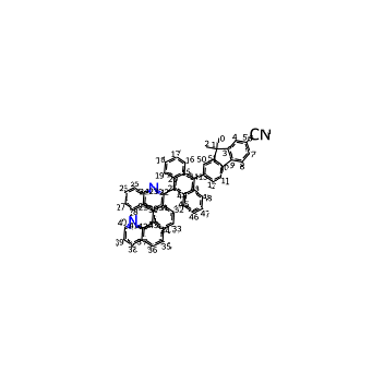 CC1(C)c2cc(C#N)ccc2-c2ccc(-c3c4ccccc4c(-c4nc5ccccc5c5c4ccc4ccc6cccnc6c45)c4ccccc34)cc21